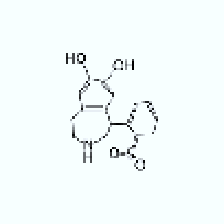 O=S(=O)=C1CC=CC=C1C1CNCCc2cc(O)c(O)cc21